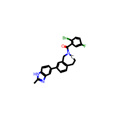 Cc1nc2cc(-c3ccc4c(c3)CN(C(=O)c3cc(F)ccc3Br)CCC4)ccc2[nH]1